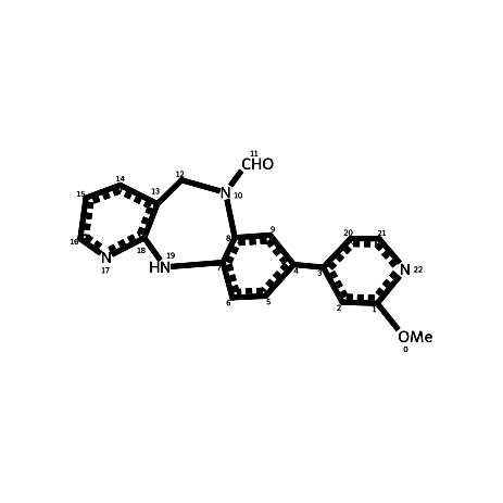 COc1cc(-c2ccc3c(c2)N(C=O)Cc2cccnc2N3)ccn1